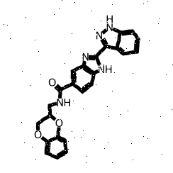 O=C(NCC1COc2ccccc2O1)c1ccc2[nH]c(-c3n[nH]c4ccccc34)nc2c1